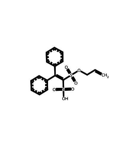 C=CCOS(=O)(=O)C(=C(c1ccccc1)c1ccccc1)S(=O)(=O)O